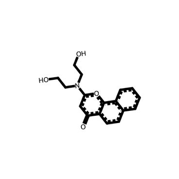 O=c1cc(N(CCO)CCO)oc2c1ccc1ccccc12